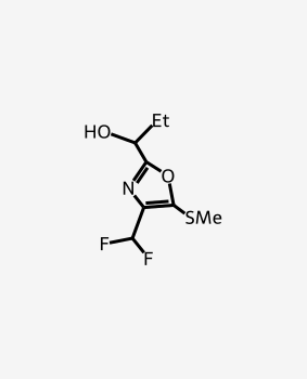 CCC(O)c1nc(C(F)F)c(SC)o1